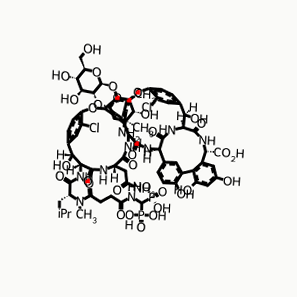 CC(C)C[C@H](C(=O)N[C@H]1C(=O)N[C@@H](CC(N)=O)C(=O)N[C@H]2C(=O)N[C@H]3C(=O)N[C@H](C(=O)N[C@H](C(=O)O)c4cc(O)cc(O)c4-c4cc3ccc4O)[C@H](O)c3ccc(c(Cl)c3)Oc3cc2cc(c3O[C@@H]2O[C@H](CO)[C@@H](O)[C@H](O)[C@H]2O[C@H]2C[C@](C)(N)[C@@H](O)[C@H](C)O2)Oc2ccc(cc2Cl)[C@H]1O)N(C)C(=O)CCC(=O)NC(P(=O)(O)O)P(=O)(O)O